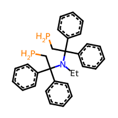 CCN(C(CP)(c1ccccc1)c1ccccc1)C(CP)(c1ccccc1)c1ccccc1